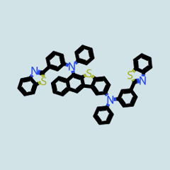 c1ccc(N(c2cccc(-c3nc4ccccc4s3)c2)c2ccc3sc4c(N(c5ccccc5)c5cccc(-c6nc7ccccc7s6)c5)c5ccccc5cc4c3c2)cc1